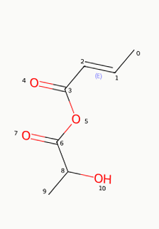 C/C=C/C(=O)OC(=O)C(C)O